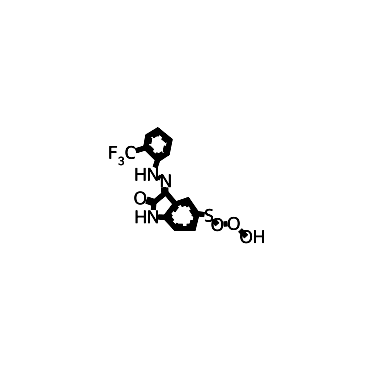 O=C1Nc2ccc(SOOO)cc2/C1=N/Nc1ccccc1C(F)(F)F